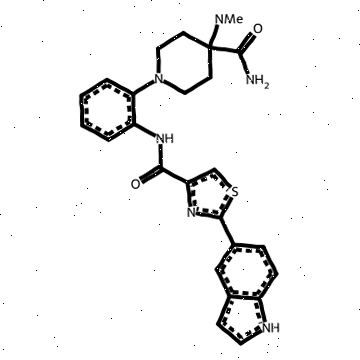 CNC1(C(N)=O)CCN(c2ccccc2NC(=O)c2csc(-c3ccc4[nH]ccc4c3)n2)CC1